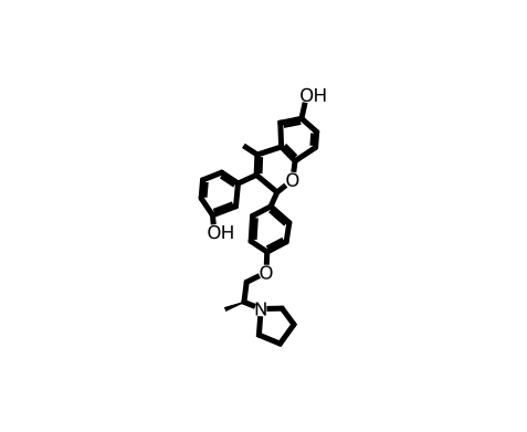 CC1=C(c2cccc(O)c2)C(c2ccc(OC[C@H](C)N3CCCC3)cc2)Oc2ccc(O)cc21